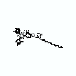 CCCCCCCCCCCCCOCC(O)COc1ccc(-c2nc(-c3ccc(C)c(C)c3)nc(-c3ccc(C)cc3C)n2)c(O)c1